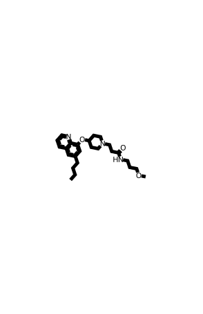 CCCCc1cc(OC2CCN(CCC(=O)NCCCOC)CC2)c2ncccc2c1